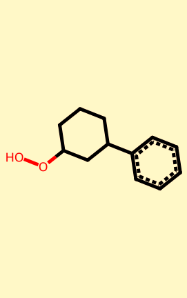 OOC1CCCC(c2ccccc2)C1